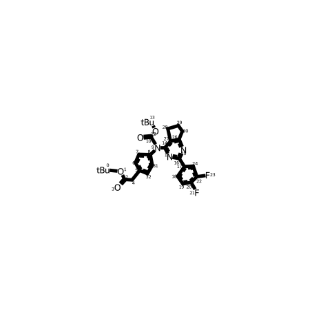 CC(C)(C)OC(=O)Cc1ccc(N(C(=O)OC(C)(C)C)c2nc(-c3ccc(F)c(F)c3)nc3c2CCC3)cc1